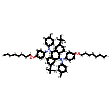 CCCCCCCCOc1ccc(N(c2ccc(C)cc2)c2c3ccc(C(C)(C)C)cc3c(N(c3ccc(C)cc3)c3ccc(OCCCCCCCC)cc3)c3ccc(C(C)(C)C)cc23)cc1